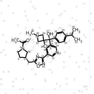 CC(=O)N1CC[C@H](Cc2nc(-c3cncc([C@@](O)(c4ccc(C(C)C)cc4)C4(C)CN(C)C4)c3)no2)C1